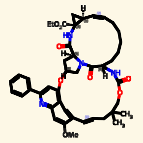 CCOC(=O)[C@@]12C[C@H]1/C=C\CCCCC[C@@H]1NC(=O)OCC(C)(C)C/C=C/c3cc4c(cc(-c5ccccc5)nc4cc3OC)O[C@@H]3C[C@@H](C(=O)N2)N(C3)C1=O